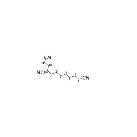 N#CCCCCCCCC(C#N)CCC#N